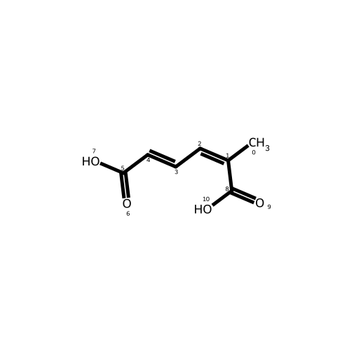 CC(=CC=CC(=O)O)C(=O)O